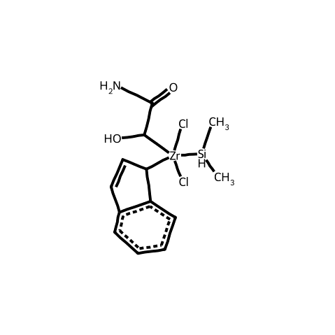 C[SiH](C)[Zr]([Cl])([Cl])([CH](O)C(N)=O)[CH]1C=Cc2ccccc21